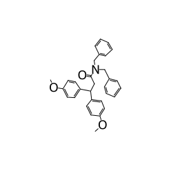 COc1ccc(C(CC(=O)N(Cc2ccccc2)Cc2ccccc2)c2ccc(OC)cc2)cc1